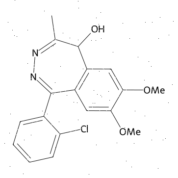 COc1cc2c(cc1OC)C(O)C(C)=NN=C2c1ccccc1Cl